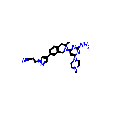 CC1Cc2ccc(-c3cnn(CCC#N)c3)cc2CN1c1cc(N2CCN(C)CC2)nc(N)n1